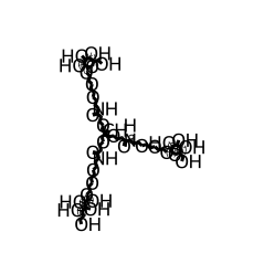 CC(COCCC(=O)NCCOCCOCCO[C@H]1OC(CO)[C@@H](O)C(O)[C@H]1O)(COCCC(=O)NCCOCCOCCO[C@H]1OC(CO)[C@@H](O)C(O)[C@H]1O)COCCC(=O)NCCOCCOCCO[C@@H](O)[C@H](O)C(O)[C@H](O)CCO